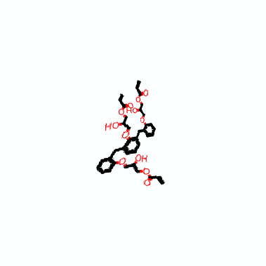 C=CC(=O)OCC(O)COc1ccccc1Cc1cccc(Cc2ccccc2OCC(O)COC(=O)C=C)c1OCC(O)COC(=O)C=C